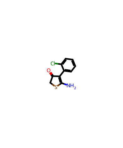 NC1=C(c2ccccc2Cl)C(=O)CS1